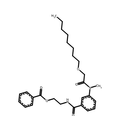 CCCCCCCCOCC(=O)N(C)c1cccc(C(=O)NCCOC(=O)c2ccccc2)c1